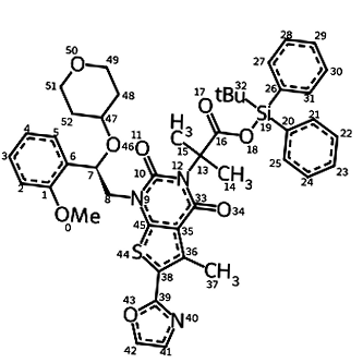 COc1ccccc1[C@H](Cn1c(=O)n(C(C)(C)C(=O)O[Si](c2ccccc2)(c2ccccc2)C(C)(C)C)c(=O)c2c(C)c(-c3ncco3)sc21)OC1CCOCC1